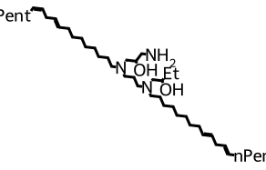 CCCCC/C=C\C/C=C/CCCCCCCCN(CCCN(CCCCCCCC/C=C/C/C=C/CCCCC)CC(O)CC)CC(O)CN